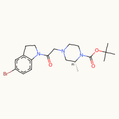 C[C@@H]1CN(CC(=O)N2CCc3cc(Br)ccc32)CCN1C(=O)OC(C)(C)C